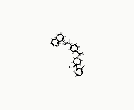 Cc1cccnc1C1(O)CCN(C(=O)c2ccc(NSc3cccc4cccnc34)cc2)CC1